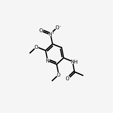 COc1nc(OC)c([N+](=O)[O-])cc1NC(C)=O